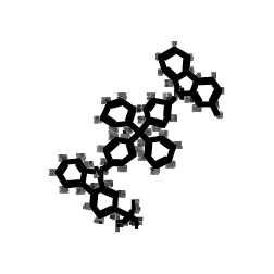 Cc1ccc2c3ccccc3n(-c3ccc(C(c4ccccc4)(c4ccccc4)c4ccc(-n5c6ccccc6c6ccc(C(F)(F)F)cc65)cc4)cc3)c2c1